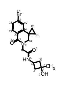 CC1(O)CC(NC(=O)CN2CC3(CC3)c3cc(Br)ccc3C2=O)C1